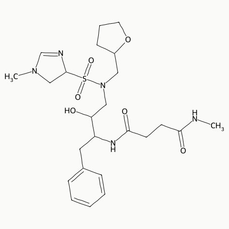 CNC(=O)CCC(=O)NC(Cc1ccccc1)C(O)CN(CC1CCCO1)S(=O)(=O)C1CN(C)C=N1